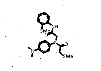 CSCC(=O)N(CC(=O)Nc1ccccc1SC)c1ccc(N(C)C)cc1